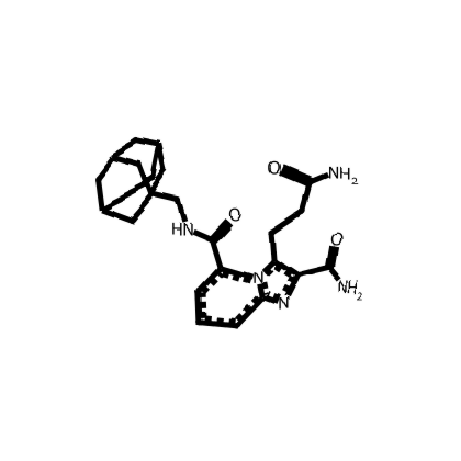 NC(=O)CCc1c(C(N)=O)nc2cccc(C(=O)NCC34CC5CC(CC(C5)C3)C4)n12